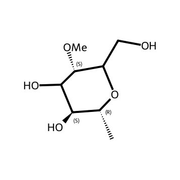 CO[C@@H]1C(CO)O[C@H](C)[C@@H](O)C1O